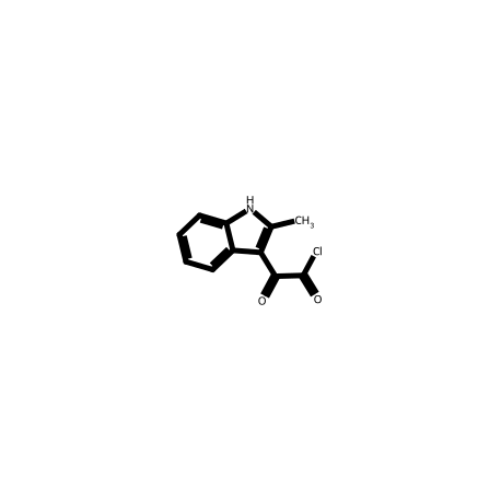 Cc1[nH]c2ccccc2c1C(=O)C(=O)Cl